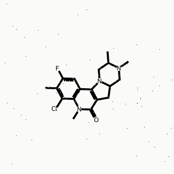 Cc1c(F)cc2c3c(c(=O)n(C)c2c1Cl)CC1CN(C)C(C)CN31